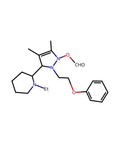 CCN1CCCCC1C1C(C)=C(C)N(OC=O)N1CCOc1ccccc1